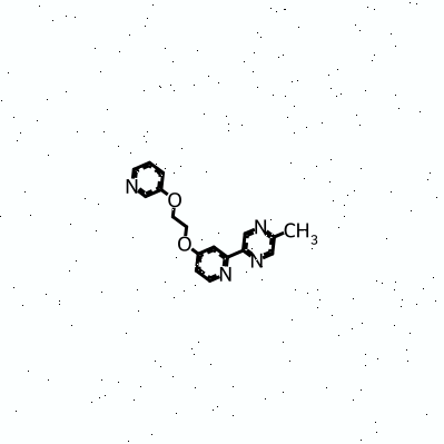 Cc1cnc(-c2cc(OCCOc3cccnc3)ccn2)cn1